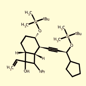 C=CC1(O)C(CCC)[C@H]2[C@H](C#C[C@@H](O[Si](C)(C)C(C)(C)C)C3CCCC3)[C@@H](O[Si](C)(C)C(C)(C)C)CC[C@H]21